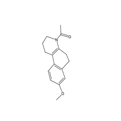 COc1ccc2c(c1)CCC1=C2CCCN1C(C)=O